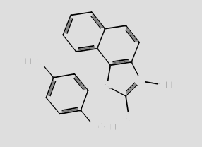 CC1=S(C)c2ccc3ccccc3c2N1.Cc1ccc(S(=O)(=O)O)cc1